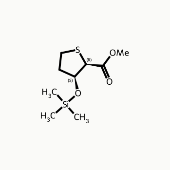 COC(=O)[C@@H]1SCC[C@@H]1O[Si](C)(C)C